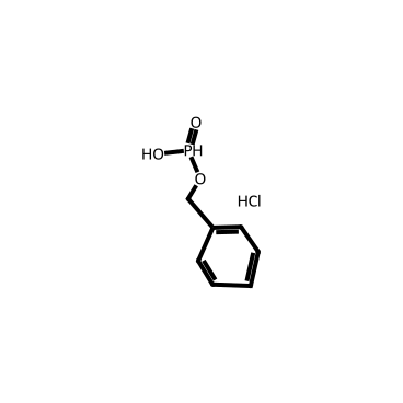 Cl.O=[PH](O)OCc1ccccc1